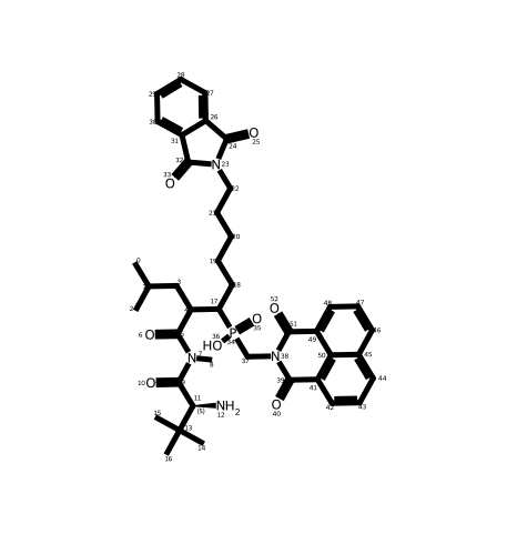 CC(C)CC(C(=O)N(C)C(=O)[C@@H](N)C(C)(C)C)C(CCCCCN1C(=O)c2ccccc2C1=O)P(=O)(O)CN1C(=O)c2cccc3cccc(c23)C1=O